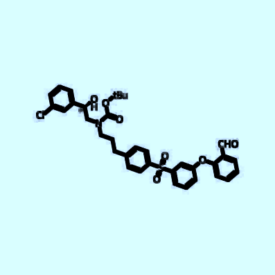 CC(C)(C)OC(=O)N(CCCc1ccc(S(=O)(=O)c2cccc(Oc3ccccc3C=O)c2)cc1)C[C@H](O)c1cccc(Cl)c1